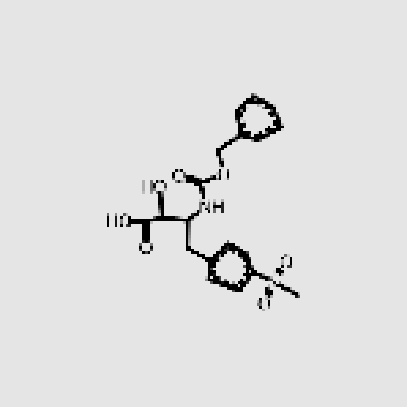 CS(=O)(=O)c1ccc(CC(NC(=O)OCc2ccccc2)C(O)C(=O)O)cc1